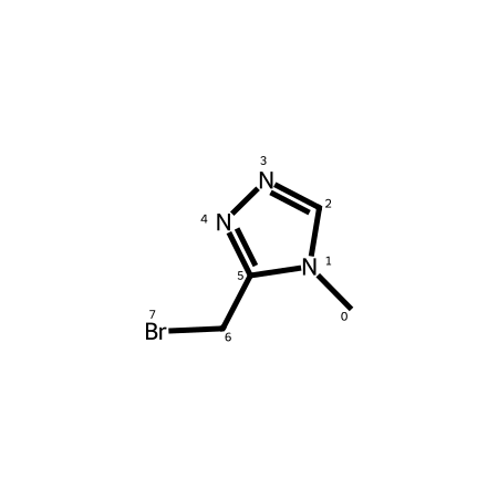 Cn1cnnc1CBr